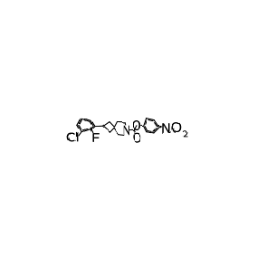 O=C(Oc1ccc([N+](=O)[O-])cc1)N1CCC2(CC1)CC(c1cccc(Cl)c1F)C2